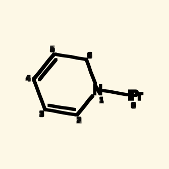 [CH2]C(C)N1C=CC=CC1